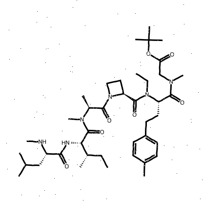 CC[C@H](C)[C@H](NC(=O)[C@H](CC(C)C)NC)C(=O)N(C)[C@@H](C)C(=O)N1CC[C@H]1C(=O)N(CC)[C@@H](CCc1ccc(C)cc1)C(=O)N(C)CC(=O)OC(C)(C)C